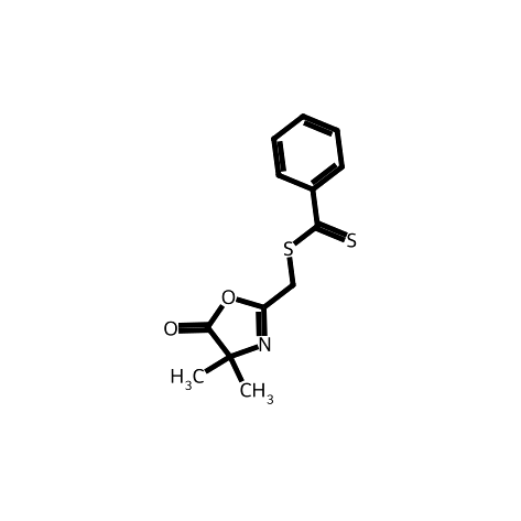 CC1(C)N=C(CSC(=S)c2ccccc2)OC1=O